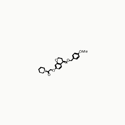 COc1ccc(CON=C2CCOc3cc(OCC(=O)N4CCCCC4)ccc32)cc1